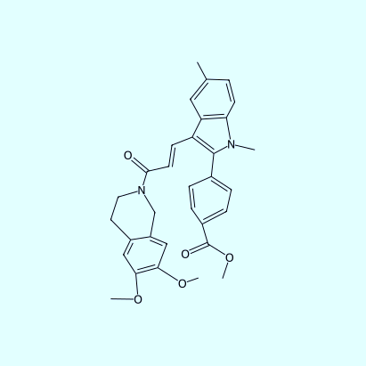 COC(=O)c1ccc(-c2c(/C=C/C(=O)N3CCc4cc(OC)c(OC)cc4C3)c3cc(C)ccc3n2C)cc1